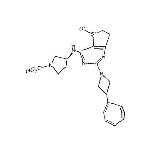 O=C(O)N1CC[C@H](Nc2nc(N3CC(c4ccccc4)C3)nc3c2[S+]([O-])CC3)C1